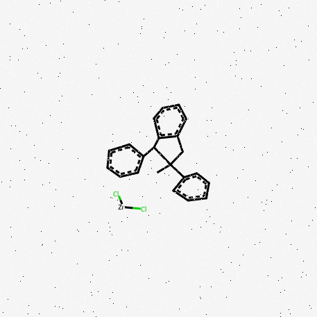 CC1(c2ccccc2)Cc2[c]cccc2C1c1ccccc1.[Cl][Zr][Cl]